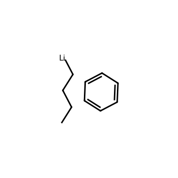 [Li][CH2]CCC.c1ccccc1